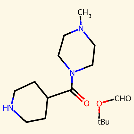 CC(C)(C)OC=O.CN1CCN(C(=O)C2CCNCC2)CC1